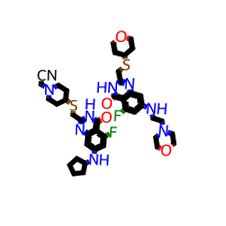 N#CCN1CCC(SCc2nc3cc(NC4CCCC4)cc(F)c3c(=O)[nH]2)CC1.O=c1[nH]c(CSC2CCOCC2)nc2cc(NCCN3CCOCC3)cc(F)c12